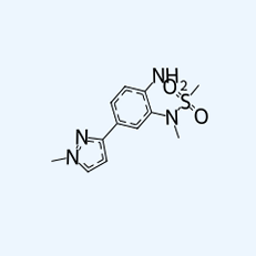 CN(c1cc(-c2ccn(C)n2)ccc1N)S(C)(=O)=O